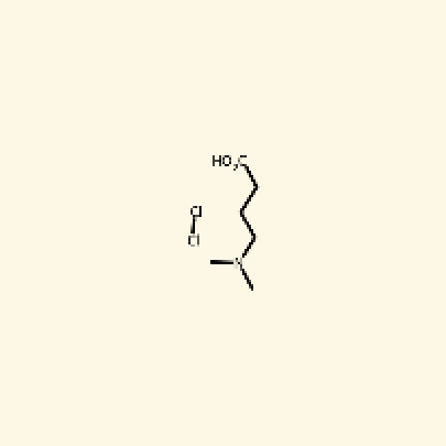 CN(C)CCCC(=O)O.ClCl